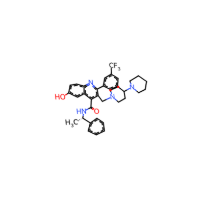 C[C@H](NC(=O)c1c(CN2CCC(N3CCCCC3)CC2)c(-c2cccc(C(F)(F)F)c2)nc2ccc(O)cc12)c1ccccc1